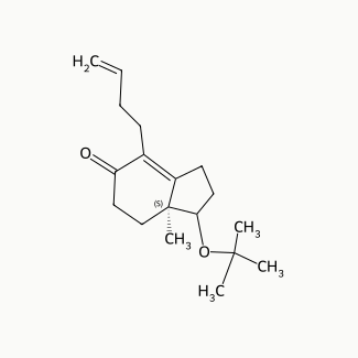 C=CCCC1=C2CCC(OC(C)(C)C)[C@@]2(C)CCC1=O